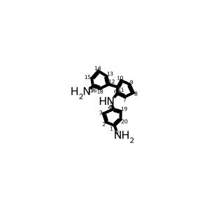 Nc1ccc(Nc2ccccc2-c2cccc(N)c2)cc1